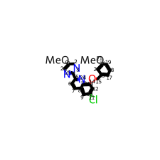 COc1cnc(-c2ccc3cc(Cl)cc(OCc4cccc(OC)c4)c3n2)nc1